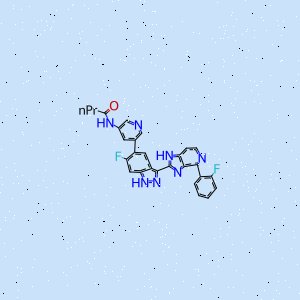 CCCC(=O)Nc1cncc(-c2cc3c(-c4nc5c(-c6ccccc6F)nccc5[nH]4)n[nH]c3cc2F)c1